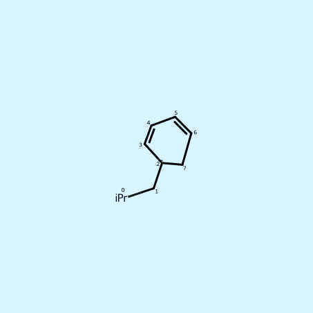 CC(C)C[C]1C=CC=CC1